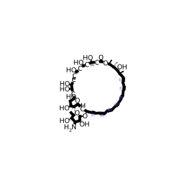 CC1O[C@@H](O[C@H]2/C=C/C=C/C=C/C=C/C=C/C=C/C=C/[C@H](C)[C@@H](O)[C@@H](C)[C@H](C)OC(=O)C[C@H](O)C[C@H](O)C[C@H](O)CC[C@@H](O)[C@H](O)C[C@]3(O)C[C@H](O)[C@@H](C)[C@H](C2)O3)[C@H](O)C(N)[C@@H]1O